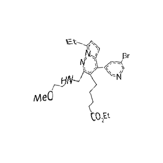 CCOC(=O)CCCCc1c(CNCCOC)nn2c(CC)ccc2c1-c1cncc(Br)c1